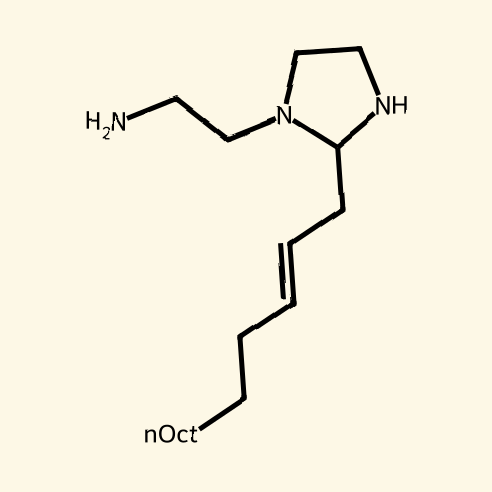 CCCCCCCCCCC=CCC1NCCN1CCN